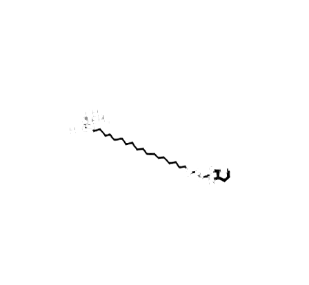 CO[Si](C)(C)CCCCCCCCCCCCCCCCCCSSSc1nc2ccccc2s1